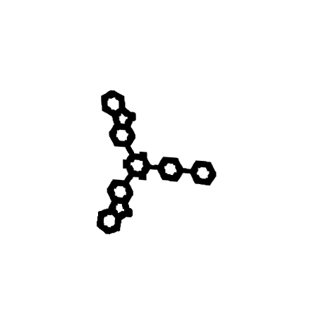 c1ccc(-c2ccc(-c3nc(-c4ccc5c(c4)oc4ccccc45)nc(-c4ccc5c(c4)oc4ccccc45)n3)cc2)cc1